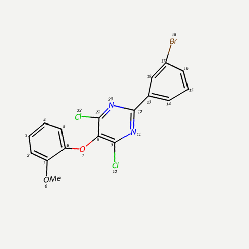 COc1ccccc1Oc1c(Cl)nc(-c2cccc(Br)c2)nc1Cl